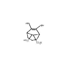 CCCCC1=C(CCCC)C2CCCC1C(C(=O)O)C2C(=O)O